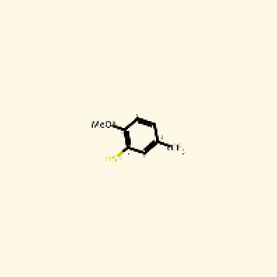 COc1ccc(C(F)(F)F)cc1S